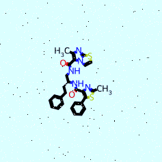 Cc1nc(C(=O)N[C@@H](CCc2ccccc2)CNC(=O)c2c(C)nc3sccn23)c(-c2ccccc2)s1